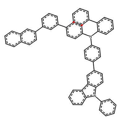 c1ccc(-c2ccccc2N(c2ccc(-c3cccc(-c4ccc5ccccc5c4)c3)cc2)c2ccc(-c3ccc4c(c3)c3ccccc3n4-c3ccccc3)cc2)cc1